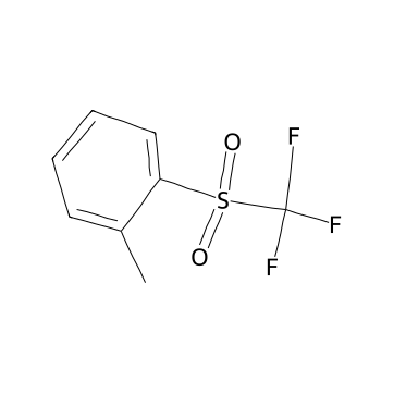 Cc1ccccc1S(=O)(=O)C(F)(F)F